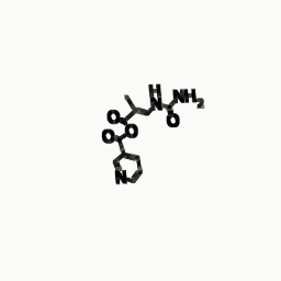 CC(=CNC(N)=O)C(=O)OC(=O)c1cccnc1